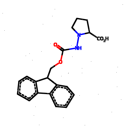 O=C(NN1CCCC1C(=O)O)OCC1c2ccccc2-c2ccccc21